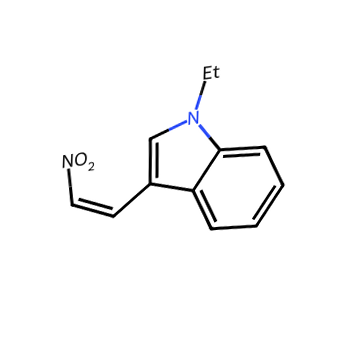 CCn1cc(/C=C\[N+](=O)[O-])c2ccccc21